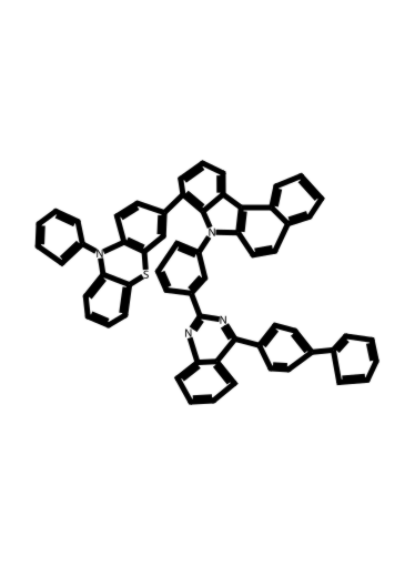 c1ccc(-c2ccc(-c3nc(-c4cccc(-n5c6ccc7ccccc7c6c6cccc(-c7ccc8c(c7)Sc7ccccc7N8c7ccccc7)c65)c4)nc4ccccc34)cc2)cc1